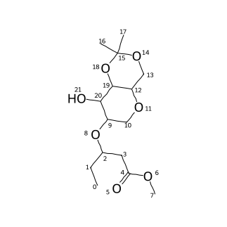 CCC(CC(=O)OC)OC1COC2COC(C)(C)OC2C1O